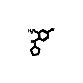 Nc1cc(Br)ccc1NC1CCCC1